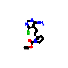 CC(C)(C)OC(=O)N1CCC[C@H]1C=Cc1c(N)ncnc1Cl